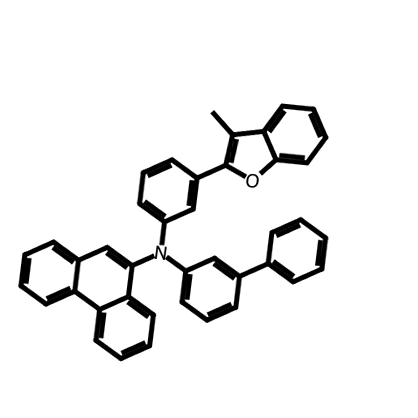 Cc1c(-c2cccc(N(c3cccc(-c4ccccc4)c3)c3cc4ccccc4c4ccccc34)c2)oc2ccccc12